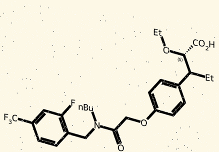 CCCCN(Cc1ccc(C(F)(F)F)cc1F)C(=O)COc1ccc(C(CC)[C@H](OCC)C(=O)O)cc1